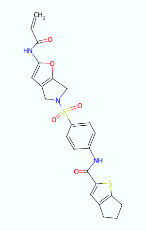 C=CC(=O)Nc1cc2c(o1)CN(S(=O)(=O)c1ccc(NC(=O)c3cc4c(s3)CCC4)cc1)C2